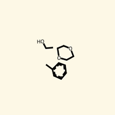 C1COCCO1.CCO.Cc1ccccc1